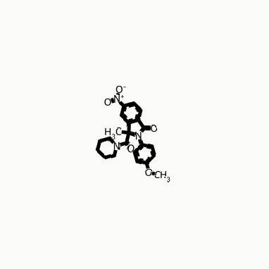 COc1ccc(N2C(=O)c3ccc([N+](=O)[O-])cc3C2(C)C(=O)N2CCCCC2)cc1